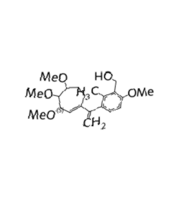 C=C(C1=C[C@H](OC)C(OC)C(OC)CC1)c1ccc(OC)c(CO)c1C